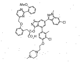 COc1ccccc1-c1nccc(COc2ccccc2C[C@@H](Oc2nsc3cc(-c4nn(C)c5cc(Cl)ccc45)cc(-c4ccc(OCCN5CCN(C)CC5)c(Cl)c4C)c23)C(=O)O)n1